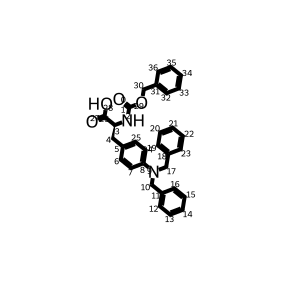 O=C(N[C@@H](Cc1ccc(N(Cc2ccccc2)Cc2ccccc2)cc1)C(=O)O)OCc1ccccc1